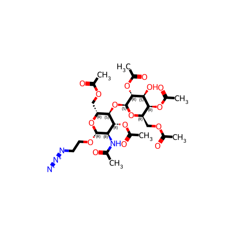 CC(=O)N[C@H]1[C@H](OCCN=[N+]=[N-])O[C@H](COC(C)=O)[C@@H](O[C@@H]2O[C@H](COC(C)=O)[C@H](OC(C)=O)[C@H](O)[C@H]2OC(C)=O)[C@@H]1OC(C)=O